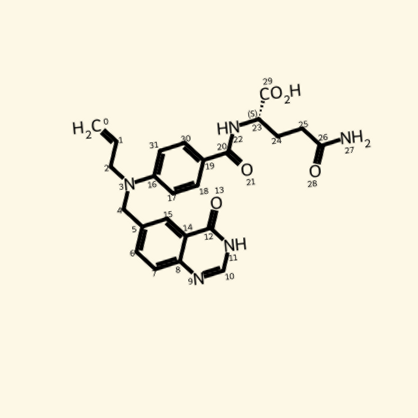 C=CCN(Cc1ccc2nc[nH]c(=O)c2c1)c1ccc(C(=O)N[C@@H](CCC(N)=O)C(=O)O)cc1